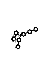 c1ccc(-c2ccc(-c3ccc(N(c4ccc(-c5ccccc5)cc4)c4cccc5oc6ccncc6c45)cc3)cc2)cc1